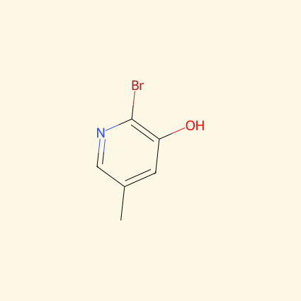 Cc1cnc(Br)c(O)c1